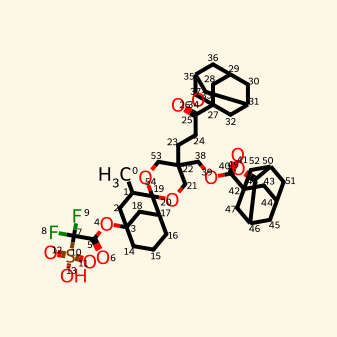 CC1CC2(OC(=O)C(F)(F)S(=O)(=O)O)CCCC(C2)C12OCC(CCC(=O)C13CC4CC(C1)C(=O)C(C4)C3)(COC(=O)C13CC4CC(C1)C(=O)C(C4)C3)CO2